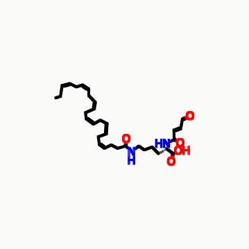 CC/C=C\C/C=C\C/C=C\C/C=C\C/C=C\C/C=C\CCC(=O)NCCCC[C@H](NC(=O)/C=C/C=O)C(=O)O